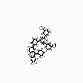 Clc1cccc(-c2nc(-c3cccc(Cl)c3)nc(-c3cccc(-c4cccc(P(c5ccccc5)c5ccccc5)c4)c3)n2)c1